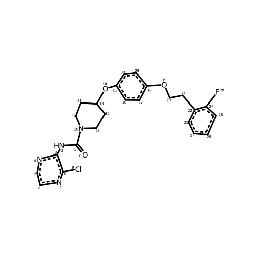 O=C(Nc1nccnc1Cl)N1CCC(Oc2ccc(OCCc3ccccc3F)cc2)CC1